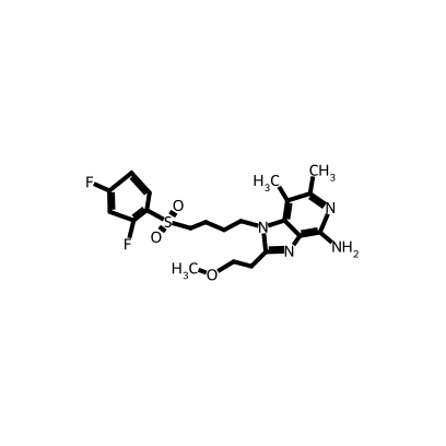 COCCc1nc2c(N)nc(C)c(C)c2n1CCCCS(=O)(=O)c1ccc(F)cc1F